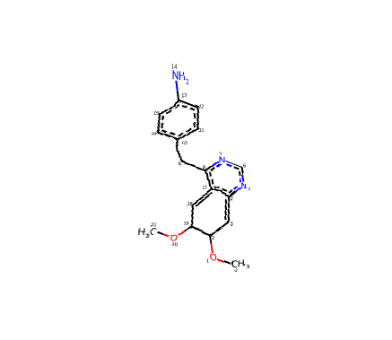 COC1C=c2ncnc(Cc3ccc(N)cc3)c2=CC1OC